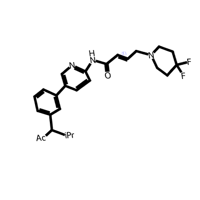 CC(=O)C(c1cccc(-c2ccc(NC(=O)/C=C/CN3CCC(F)(F)CC3)nc2)c1)C(C)C